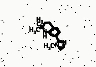 Cn1ccnc1-c1ccc2c(c1)NC(C)(C)CC2